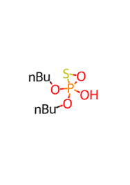 CCCCOP1(O)(OCCCC)OS1